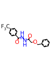 O=C(COCc1ccccc1)NNC(=O)c1ccc(C(F)(F)F)cc1